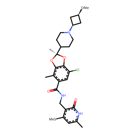 CO[C@H]1C[C@@H](N2CCC([C@@]3(C)Oc4c(Cl)cc(C(=O)NCc5c(SC)cc(C)[nH]c5=O)c(C)c4O3)CC2)C1